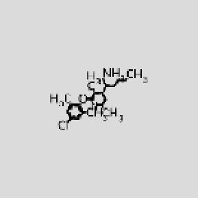 CCCCC(CN)c1cc(C)nc(Oc2c(C)cc(Cl)cc2C)c1C